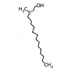 CCCCCCCCCCCCCC[S+](C)CCO